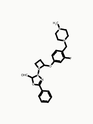 CN1CCN(Cc2ccc(OC3CCN3N3N=C(c4ccccc4)OC3C=O)cc2F)CC1